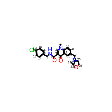 Cn1cc(C(=O)NCc2ccc(Cl)cc2)c(=O)c2cc(CN3CC4CC3CO4)ccc21